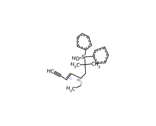 C#C/C=C/[C@@H](CC)CC(C)(C)[Si](O)(c1ccccc1)c1ccccc1